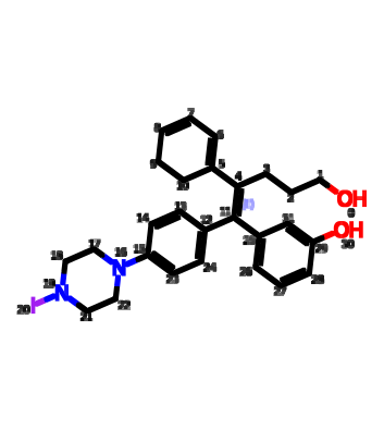 OCCC/C(C1=CC=CCC1)=C(/c1ccc(N2CCN(I)CC2)cc1)c1cccc(O)c1